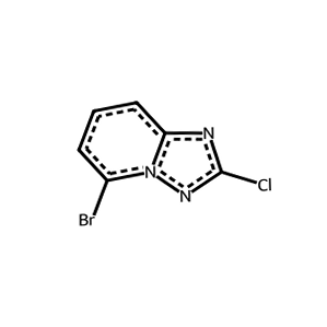 Clc1nc2cccc(Br)n2n1